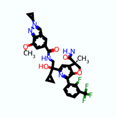 COc1cc(C(=O)NCC(O)(c2cc3c(c(-c4cccc(C(F)(F)F)c4F)n2)OC[C@]3(C)C(N)=O)C2CC2)cc2cn(C3CC3)nc12